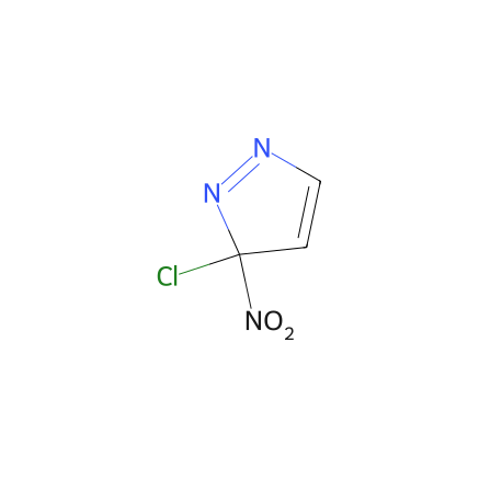 O=[N+]([O-])C1(Cl)C=CN=N1